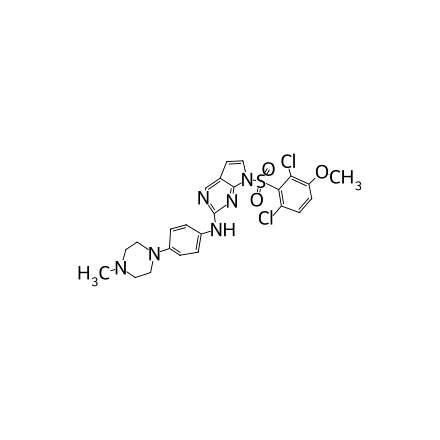 COc1ccc(Cl)c(S(=O)(=O)n2ccc3cnc(Nc4ccc(N5CCN(C)CC5)cc4)nc32)c1Cl